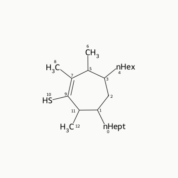 CCCCCCCC1CC(CCCCCC)C(C)C(C)=C(S)C1C